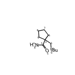 CC(C)(C)CC1(C(N)=O)CCCC1